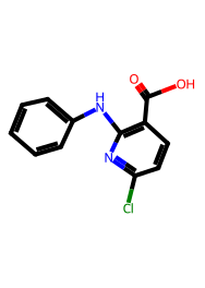 O=C(O)c1ccc(Cl)nc1Nc1ccccc1